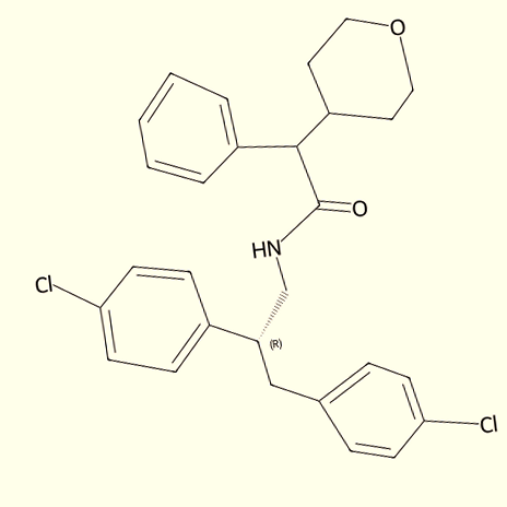 O=C(NC[C@H](Cc1ccc(Cl)cc1)c1ccc(Cl)cc1)C(c1ccccc1)C1CCOCC1